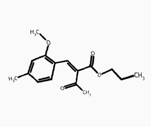 CCCOC(=O)/C(=C/c1ccc(C)cc1OC)C(C)=O